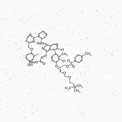 COC(=O)[C@H](Cc1cc(O)ccc1OCc1ccnc(-c2ccccc2OC)n1)Oc1nsc2cnc(Cl)c(-c3ccc(O[C@H](COCOCC[Si](C)(C)C)COS(=O)(=O)c4ccc(C)cc4)c(Cl)c3C)c12